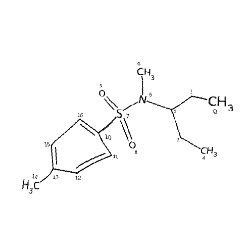 CCC(CC)N(C)S(=O)(=O)c1ccc(C)cc1